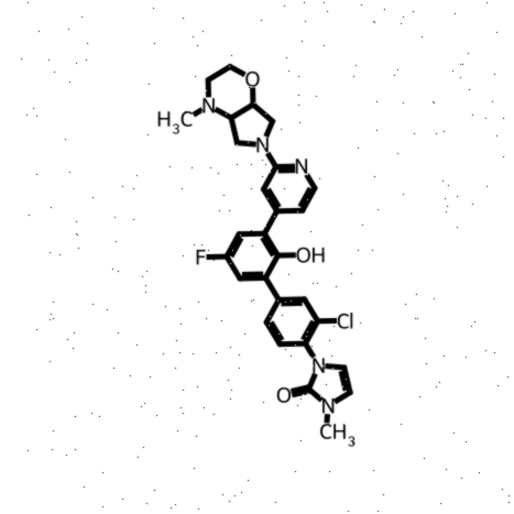 CN1CCOC2CN(c3cc(-c4cc(F)cc(-c5ccc(-n6ccn(C)c6=O)c(Cl)c5)c4O)ccn3)CC21